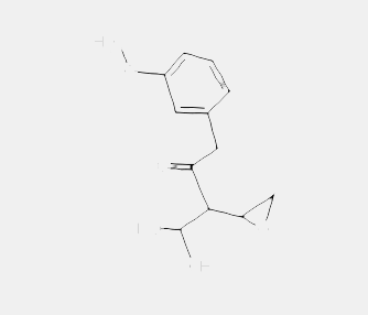 COc1cccc(CC(=O)C(C(C)O)C2CO2)c1